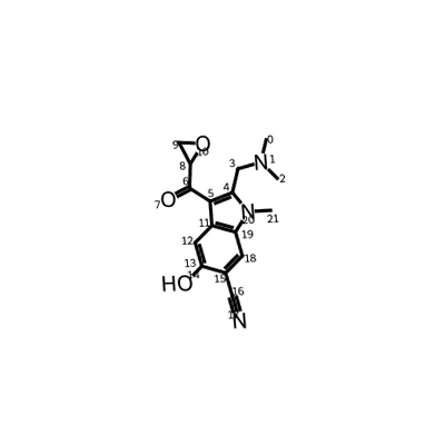 CN(C)Cc1c(C(=O)C2CO2)c2cc(O)c(C#N)cc2n1C